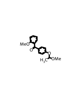 COc1ccccc1C(=O)c1ccc(OC(C)OC)cc1